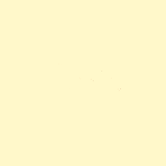 CCN(C(=O)OC(C)(C)C)C1(C(=O)OC)CCC1